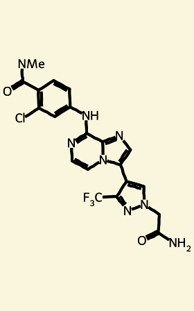 CNC(=O)c1ccc(Nc2nccn3c(-c4cn(CC(N)=O)nc4C(F)(F)F)cnc23)cc1Cl